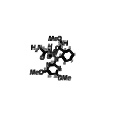 CONC(=O)c1ccccc1N(c1nc(OC)cc(OC)n1)S(=O)(=O)NC(N)=O